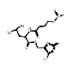 Cc1oc(=O)oc1COC(=O)C(CC(C)C)NC(=O)CCCO[N+](=O)[O-]